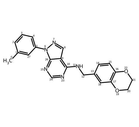 Cc1cccc(-n2ncc3c(NCc4ccc5c(c4)OCCO5)ncnc32)c1